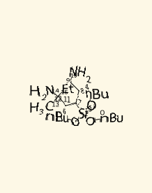 CCCCO[Si](OCCCC)(OCCCC)C(CCN)CC(C)(N)CC